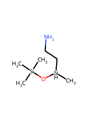 C[SiH](CCN)O[Si](C)(C)C